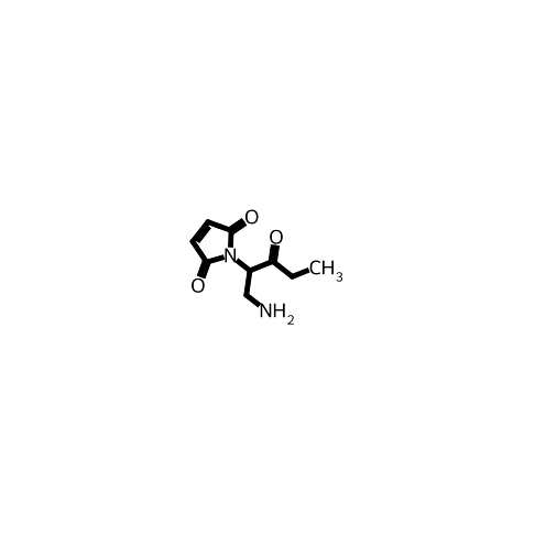 CCC(=O)C(CN)N1C(=O)C=CC1=O